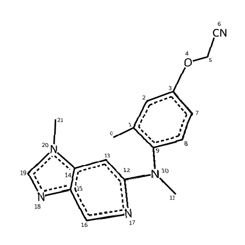 Cc1cc(OCC#N)ccc1N(C)c1cc2c(cn1)ncn2C